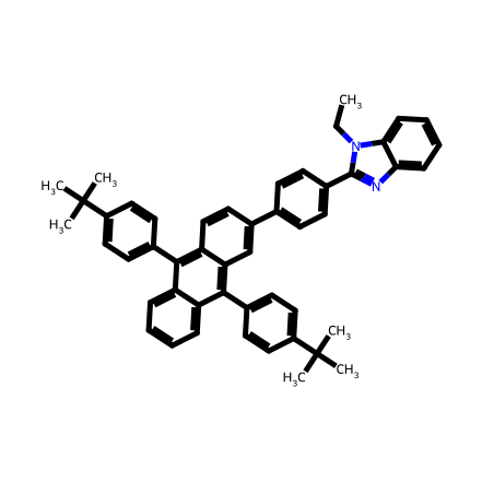 CCn1c(-c2ccc(-c3ccc4c(-c5ccc(C(C)(C)C)cc5)c5ccccc5c(-c5ccc(C(C)(C)C)cc5)c4c3)cc2)nc2ccccc21